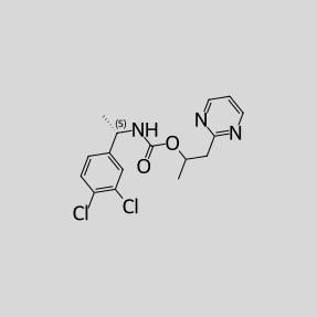 CC(Cc1ncccn1)OC(=O)N[C@@H](C)c1ccc(Cl)c(Cl)c1